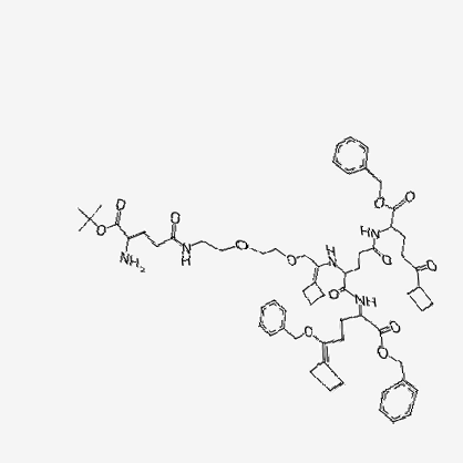 CC(C)(C)OC(=O)C(N)CCC(=O)NCCOCCOCC(NC(CCC(=O)NC(CCC(=O)C1CCC1)C(=O)OCc1ccccc1)C(=O)NC(CCC(OCc1ccccc1)=C1CCC1)C(=O)OCc1ccccc1)=C1CCC1